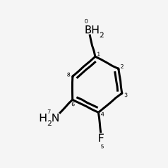 Bc1ccc(F)c(N)c1